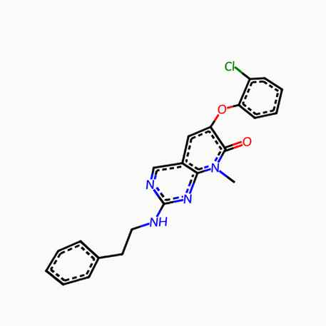 Cn1c(=O)c(Oc2ccccc2Cl)cc2cnc(NCCc3ccccc3)nc21